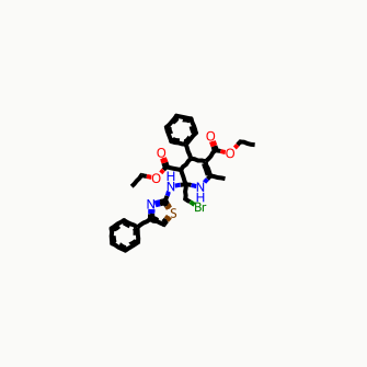 CCOC(=O)C1=C(C)NC(CBr)(Nc2nc(-c3ccccc3)cs2)C(C(=O)OCC)C1c1ccccc1